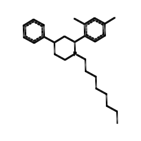 CCCCCCCCP1CCC(c2ccccc2)CC1c1ccc(C)cc1C